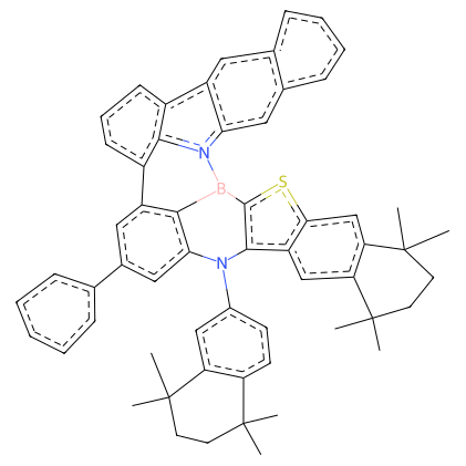 CC1(C)CCC(C)(C)c2cc(N3c4cc(-c5ccccc5)cc5c4B(c4sc6cc7c(cc6c43)C(C)(C)CCC7(C)C)n3c4cc6ccccc6cc4c4cccc-5c43)ccc21